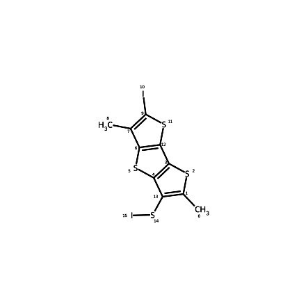 Cc1sc2c(sc3c(C)c(I)sc32)c1SI